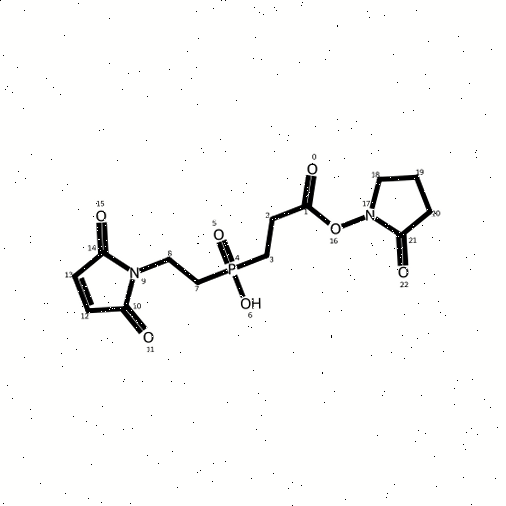 O=C(CCP(=O)(O)CCN1C(=O)C=CC1=O)ON1CCCC1=O